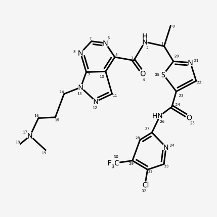 CC(NC(=O)c1ncnc2c1cnn2CCCN(C)C)c1ncc(C(=O)Nc2cc(C(F)(F)F)c(Cl)cn2)s1